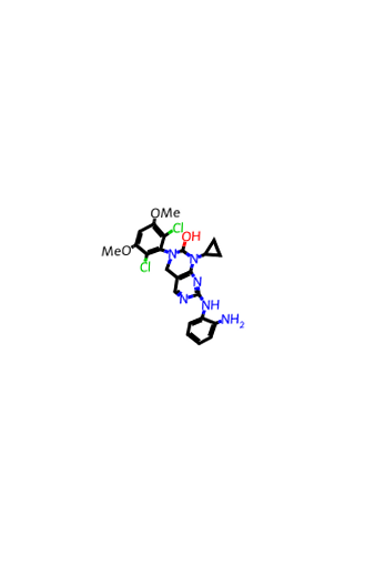 COc1cc(OC)c(Cl)c(N2Cc3cnc(Nc4ccccc4N)nc3N(C3CC3)C2O)c1Cl